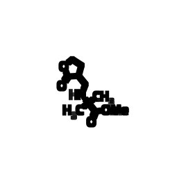 COC(=O)C(C)(C)NCC1CCOC1=O